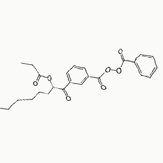 CCCCCCC(OC(=O)CC)C(=O)c1cccc(C(=O)OOC(=O)c2ccccc2)c1